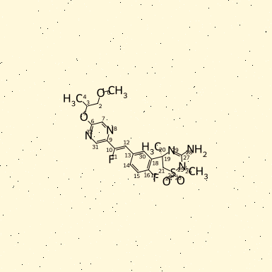 COCC(C)Oc1cnc(/C(F)=C/c2ccc(F)c([C@]3(C)CS(=O)(=O)N(C)C(N)=N3)c2)cn1